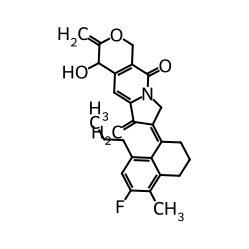 C=C1/C(=C2/CCCc3c(C)c(F)cc(CCC)c32)Cn2c1cc1c(c2=O)COC(=C)C1O